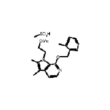 COCCn1c(C)c(C)c2ccnc(OCc3ccccc3C)c21.CS(=O)(=O)O